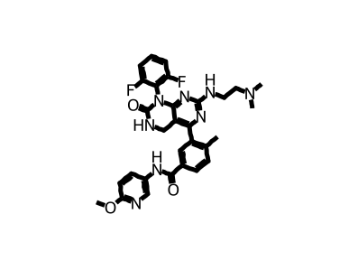 COc1ccc(NC(=O)c2ccc(C)c(-c3nc(NCCN(C)C)nc4c3CNC(=O)N4c3c(F)cccc3F)c2)cn1